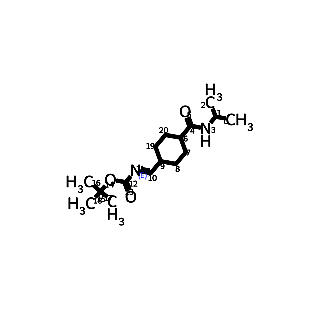 CC(C)NC(=O)C1CCC(/C=N/C(=O)OC(C)(C)C)CC1